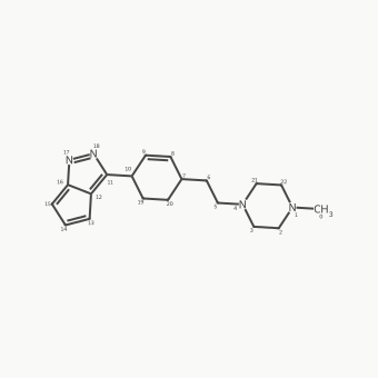 CN1CCN(CCC2C=CC(C3=C4C=CC=C4N=N3)CC2)CC1